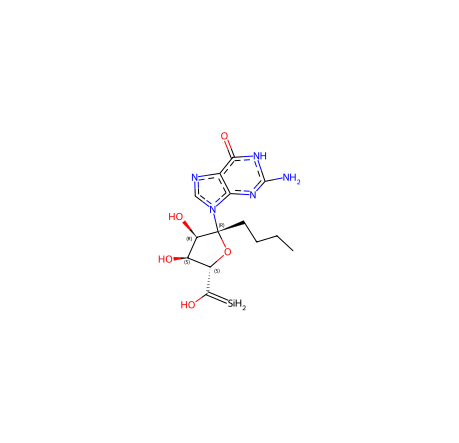 CCCC[C@@]1(n2cnc3c(=O)[nH]c(N)nc32)O[C@H](C(O)=[SiH2])[C@@H](O)[C@H]1O